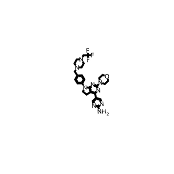 Nc1ncc(-c2nc(N3CCOCC3)nc3c2CCN3c2ccc(CN3CCN(CC(F)(F)F)CC3)cc2)cn1